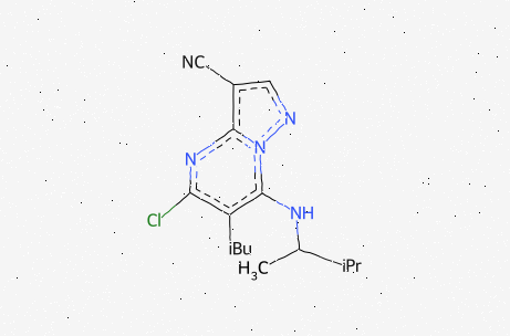 CCC(C)c1c(Cl)nc2c(C#N)cnn2c1NC(C)C(C)C